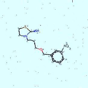 N=C1SCCN1CCCOCc1cccc([N+](=O)[O-])c1